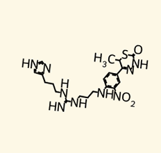 CC1SC(=O)NN=C1c1ccc(NCCCNC(=N)NCCCc2c[nH]cn2)c([N+](=O)[O-])c1